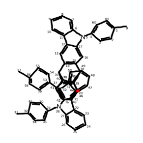 Cc1ccc(-n2c3ccccc3c3cc4c(cc32)C2c3cc5c6ccccc6n(-c6ccc(C)cc6)c5cc3C4c3cc4c(cc32)c2ccccc2n4-c2ccc(C)cc2)cc1